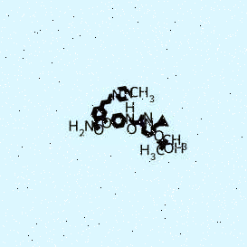 CN1CCN(CCCc2ccc(C(N)=O)c(OC3CCC(NC(=O)c4cnn5c(C6CC6)c(OCC(C)(C)O)ccc45)CC3)c2)CC1